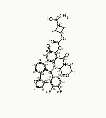 CC(=O)N1CC(OC(=O)Oc2c3n(ccc2=O)N(C2c4ccccc4-c4occc4-c4c2ccc(F)c4F)C2COCCN2C3=O)C1